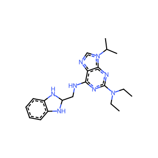 CCN(CC)c1nc(NCC2Nc3ccccc3N2)c2ncn(C(C)C)c2n1